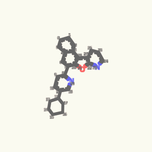 c1ccc2c(c1)cc(-c1ccc(C3CCCCC3)cn1)c1oc3ncccc3c12